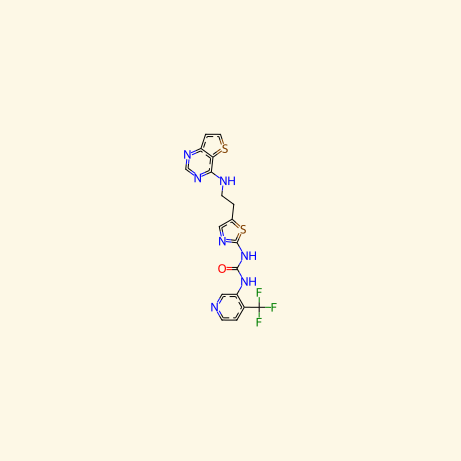 O=C(Nc1ncc(CCNc2ncnc3ccsc23)s1)Nc1cnccc1C(F)(F)F